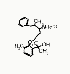 CCCCCCCC(CCCOc1c(C)cccc1C(C)(C)O)C(C)Cc1ccccc1